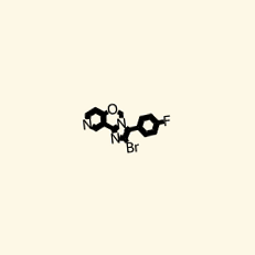 Fc1ccc(-c2c(Br)nc3n2COc2ccncc2-3)cc1